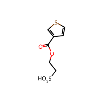 O=C(OCCS(=O)(=O)O)c1ccsc1